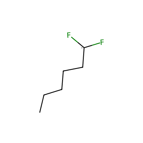 CCCCC[C](F)F